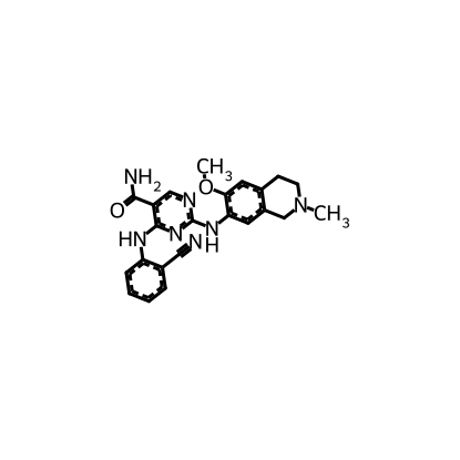 COc1cc2c(cc1Nc1ncc(C(N)=O)c(Nc3ccccc3C#N)n1)CN(C)CC2